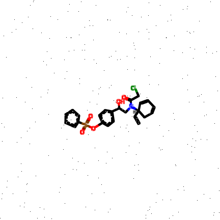 C=C[C@]1(N(CC(O)c2ccc(OS(=O)(=O)c3ccccc3)cc2)C(=O)CCl)C=CC=CC1